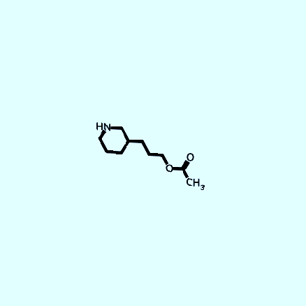 CC(=O)OCCCC1CCCNC1